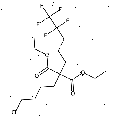 CCOC(=O)C(CCCCCl)(CCCC(F)(F)C(F)(F)F)C(=O)OCC